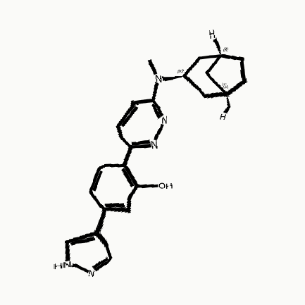 CN(c1ccc(-c2ccc(-c3cn[nH]c3)cc2O)nn1)[C@H]1C[C@@H]2CC[C@@H](C2)C1